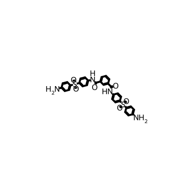 Nc1ccc(S(=O)(=O)c2ccc(NC(=O)c3cccc(C(=O)Nc4ccc(S(=O)(=O)c5ccc(N)cc5)cc4)c3)cc2)cc1